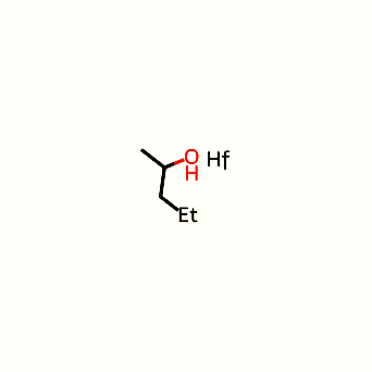 CCCC(C)O.[Hf]